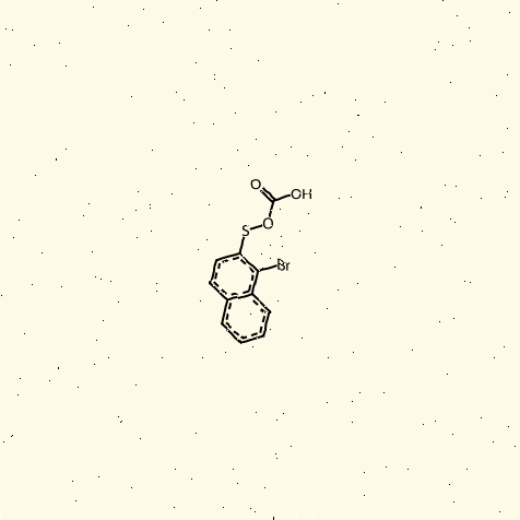 O=C(O)OSc1ccc2ccccc2c1Br